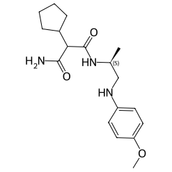 COc1ccc(NC[C@H](C)NC(=O)C(C(N)=O)C2CCCC2)cc1